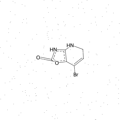 O=c1[nH]c2c(o1)C(Br)=CCN2